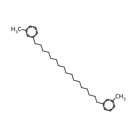 Cc1cccc(CCCCCCCCCCCCCCCCCc2cccc(C)c2)c1